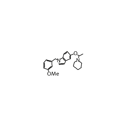 COc1cccc(Cn2ccc3cc(OC(C)N4CCCCC4)ccc32)c1